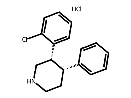 Cl.Clc1ccccc1[C@H]1CNCC[C@H]1c1ccccc1